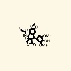 COc1cc(C2c3cc4c(cc3[C@@H](NC(=O)CCl)[C@H]3COC(=O)C23)OCO4)cc(OC)c1O